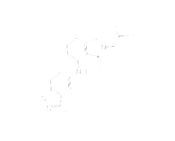 O=C(O)CN1Cc2cccc(Nc3ccc4[nH]nc(F)c4c3)c2C1=O